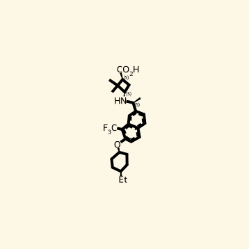 CC[C@H]1CC[C@@H](Oc2ccc3ccc([C@H](C)N[C@H]4C[C@H](C(=O)O)C4(C)C)cc3c2C(F)(F)F)CC1